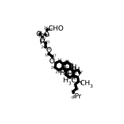 CC(C)CCC[C@@H](C)[C@H]1CC[C@H]2[C@@H]3CC=C4C[C@@H](OCCOCCO[PH](=O)OCC=O)CC[C@]4(C)[C@H]3CC[C@]12C